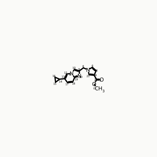 COC(=O)c1ccn(Cc2cn3cc(C4CC4)ccc3n2)c1